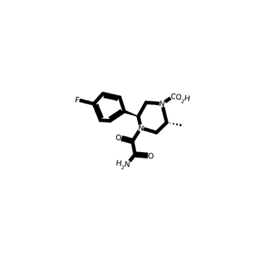 C[C@@H]1CN(C(=O)C(N)=O)[C@@H](c2ccc(F)cc2)CN1C(=O)O